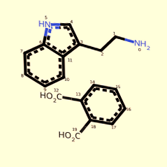 NCCc1c[nH]c2ccccc12.O=C(O)c1ccccc1C(=O)O